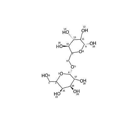 OCC1O[C@H](OCC2O[C@@H](O)C(O)[C@@H](O)[C@@H]2O)C(O)[C@@H](O)[C@H]1O